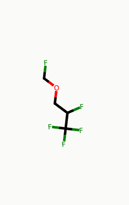 FCOCC(F)C(F)(F)F